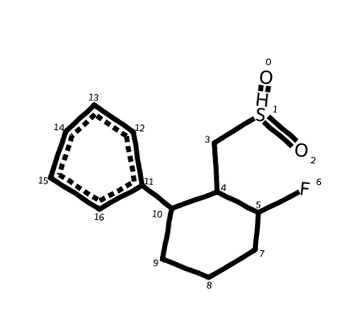 O=[SH](=O)CC1C(F)CCCC1c1ccccc1